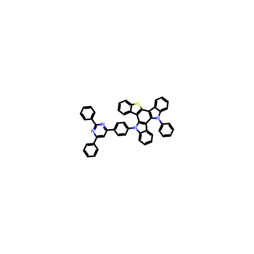 c1ccc(-c2cc(-c3ccc(-n4c5ccccc5c5c6c(c7ccccc7n6-c6ccccc6)c6sc7ccccc7c6c54)cc3)nc(-c3ccccc3)n2)cc1